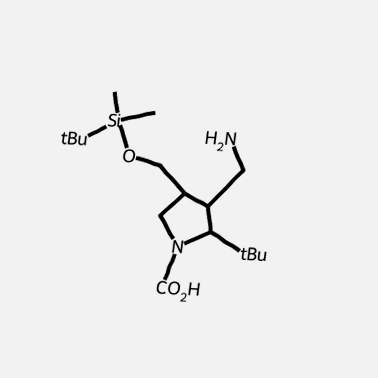 CC(C)(C)C1C(CN)C(CO[Si](C)(C)C(C)(C)C)CN1C(=O)O